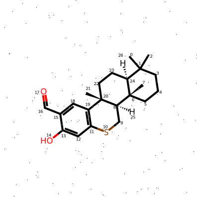 CC1(C)CCC[C@]2(C)[C@H]3CSc4cc(O)c(C=O)cc4[C@]3(C)CC[C@@H]12